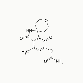 Cc1cc(OC(N)=O)c(=O)n2c1C(=O)NC21CCOCC1